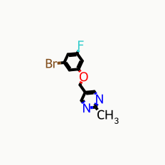 Cc1ncc(COc2cc(F)cc(Br)c2)cn1